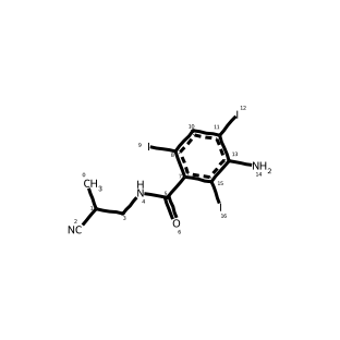 CC(C#N)CNC(=O)c1c(I)cc(I)c(N)c1I